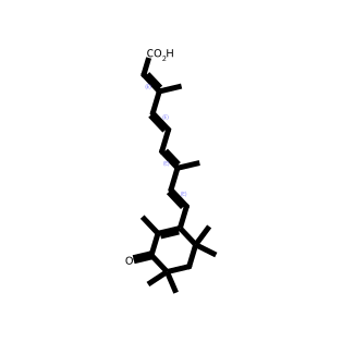 CC1=C(/C=C/C(C)=C/C=C/C(C)=C/C(=O)O)C(C)(C)CC(C)(C)C1=O